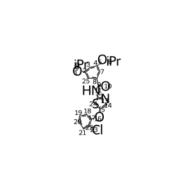 CC(C)Oc1cc(OC(C)C)cc(C(=O)Nc2ncc(Oc3ccccc3Cl)s2)c1